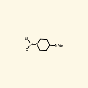 CC[S+]([O-])N1CCC(NC)CC1